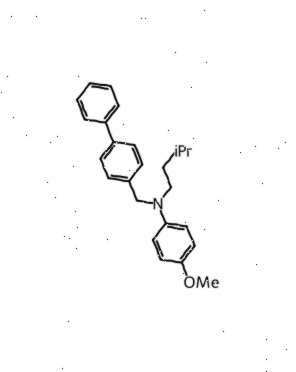 COc1ccc(N(CCC(C)C)Cc2ccc(-c3ccccc3)cc2)cc1